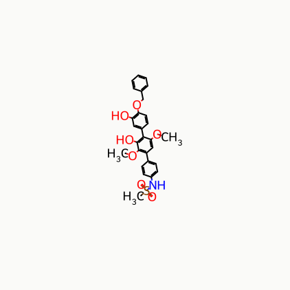 COc1cc(-c2ccc(NS(C)(=O)=O)cc2)c(OC)c(O)c1-c1ccc(OCc2ccccc2)c(O)c1